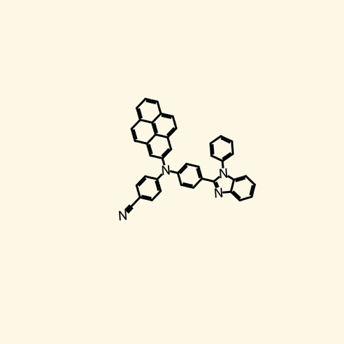 N#Cc1ccc(N(c2ccc(-c3nc4ccccc4n3-c3ccccc3)cc2)c2cc3ccc4cccc5ccc(c2)c3c45)cc1